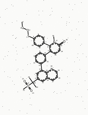 COOSc1ccc(-c2c(-c3cccc(-c4cc(C(C)(C)S(C)(=O)=O)cc5cccnc45)c3)ccc(=O)n2C)cc1